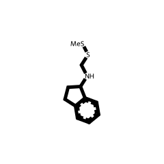 CSSCNC1CCc2ccccc21